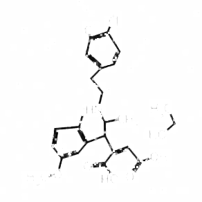 CCO.COc1ccc(I)c(C(/C(=C/C(=O)O)C(=O)O)C(C)NCCc2ccc(Cl)c(Cl)c2)c1